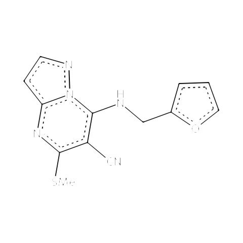 CSc1nc2ccnn2c(NCc2ccco2)c1C#N